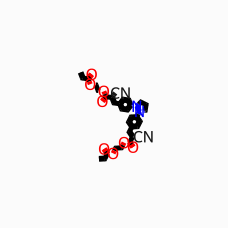 C=CC(=O)OCCOC(=O)/C(C#N)=C/c1ccc(N2CCCN2c2ccc(/C=C(\C#N)C(=O)OCCOC(=O)C=C)cc2)cc1